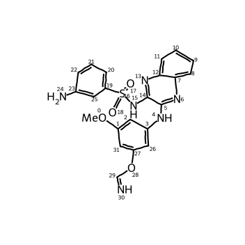 COc1cc(Nc2nc3ccccc3nc2NS(=O)(=O)c2cccc(N)c2)cc(OC=N)c1